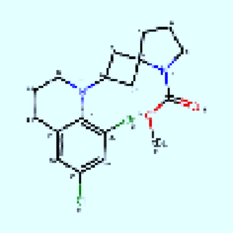 CC(C)(C)OC(=O)N1CCCC12CC(N1CCCc3cc(Cl)cc(Br)c31)C2